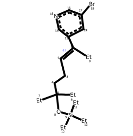 CC/C(=C\CCC(CC)(CC)O[Si](CC)(CC)CC)c1cncc(Br)c1